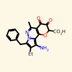 CCc1c(N)c2c3c(c(C)nn2c1Cc1ccccc1)C(=O)C(=O)C(C(=O)O)O3